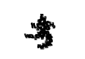 Cc1cc(F)cc(C)c1C(=O)c1sc2cc(C(=O)O)ccc2c1Oc1ccc(OC2CN(CCCF)C2)cc1